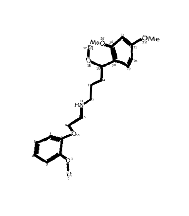 CCOc1ccccc1OCCNCCCC(OCC)c1ccc(OC)cc1OC